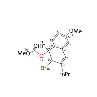 CCCC1=Cc2cc(OC)ccc2C(C=O)(OCOC)C1Br